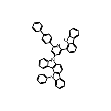 c1ccc(-c2ccc(-c3cc(-n4c5ccccc5c5c4ccc4c6ccccc6n(-c6ccccc6)c45)cc(-c4cccc5c4oc4ccccc45)n3)cc2)cc1